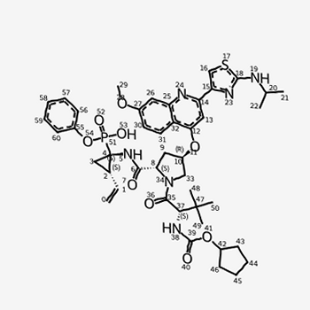 C=C[C@@H]1C[C@]1(NC(=O)[C@@H]1C[C@@H](Oc2cc(-c3csc(NC(C)C)n3)nc3cc(OC)ccc23)CN1C(=O)[C@@H](NC(=O)OC1CCCC1)C(C)(C)C)P(=O)(O)Oc1ccccc1